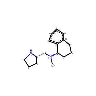 CC(=O)N(C[C@@H]1CCCN1)[C@@H]1CCCc2ccccc21